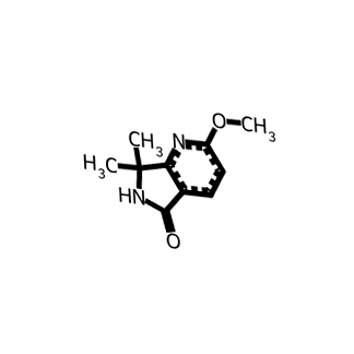 COc1ccc2c(n1)C(C)(C)NC2=O